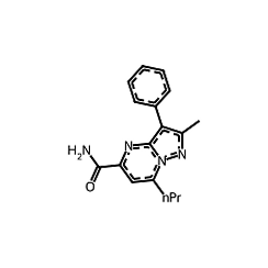 CCCc1cc(C(N)=O)nc2c(-c3ccccc3)c(C)nn12